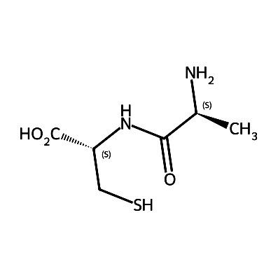 C[C@H](N)C(=O)N[C@H](CS)C(=O)O